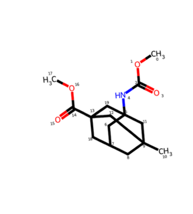 COC(=O)NC12CC3CC(C)(C1)CC(C(=O)OC)(C3)C2